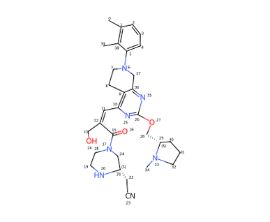 Cc1cccc(N2CCc3c(C=C(CO)C(=O)N4CCN[C@@H](CC#N)C4)nc(OC[C@@H]4CCCN4C)nc3C2)c1C